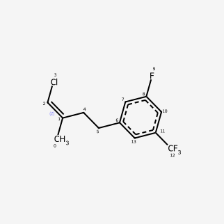 C/C(=C/Cl)CCc1cc(F)cc(C(F)(F)F)c1